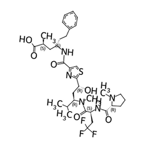 CC(C)[C@@H](C[C@@H](O)c1nc(C(=O)N[C@@H](CCc2ccccc2)C[C@H](C)C(=O)O)cs1)N(C)C(=O)[C@H](CC(F)(F)F)NC(=O)[C@H]1CCCN1C